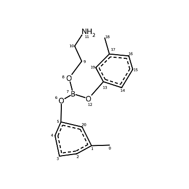 Cc1cccc(OB(OCCN)Oc2cccc(C)c2)c1